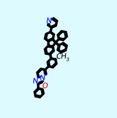 CC1C=CC(c2ccc3nc4c5ccccc5oc4n3c2)=CC1c1ccc2c(c1)C(c1ccccc1)(c1ccccc1)C1=C2C=CC(c2cccnc2)C1